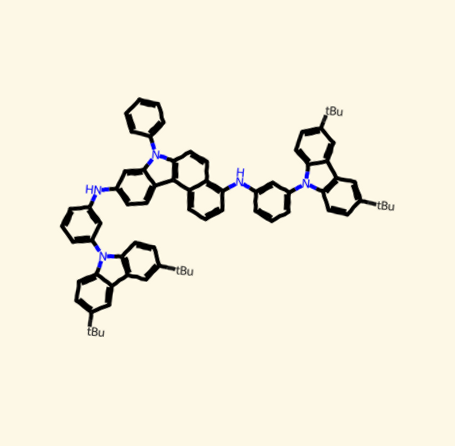 CC(C)(C)c1ccc2c(c1)c1cc(C(C)(C)C)ccc1n2-c1cccc(Nc2ccc3c4c5cccc(Nc6cccc(-n7c8ccc(C(C)(C)C)cc8c8cc(C(C)(C)C)ccc87)c6)c5ccc4n(-c4ccccc4)c3c2)c1